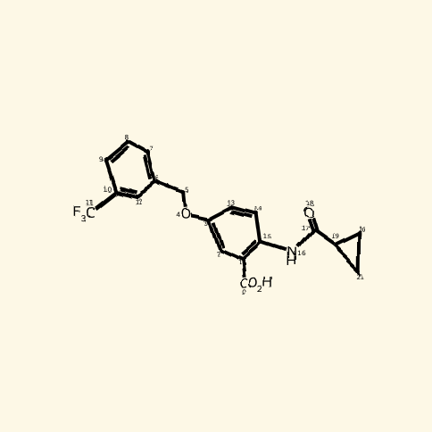 O=C(O)c1cc(OCc2cccc(C(F)(F)F)c2)ccc1NC(=O)C1CC1